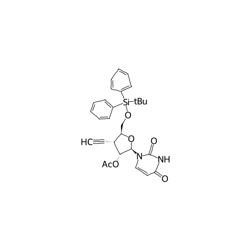 C#C[C@H]1[C@@H](OC(C)=O)[C@H](n2ccc(=O)[nH]c2=O)O[C@@H]1CO[Si](c1ccccc1)(c1ccccc1)C(C)(C)C